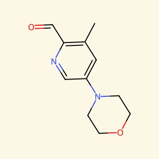 Cc1cc(N2CCOCC2)cnc1C=O